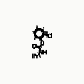 CC(C)NC(=O)Oc1ccccc1Cl